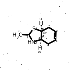 CC1N[C@@H]2CC=CC[C@@H]2S1